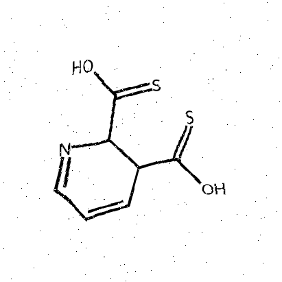 OC(=S)C1C=CC=NC1C(O)=S